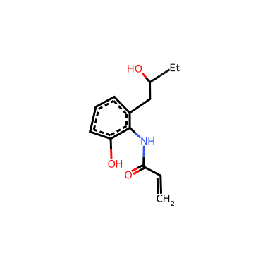 C=CC(=O)Nc1c(O)cccc1CC(O)CC